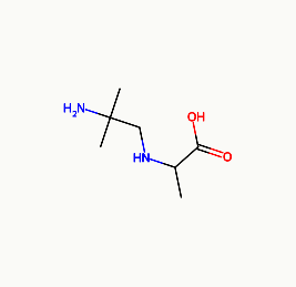 CC(NCC(C)(C)N)C(=O)O